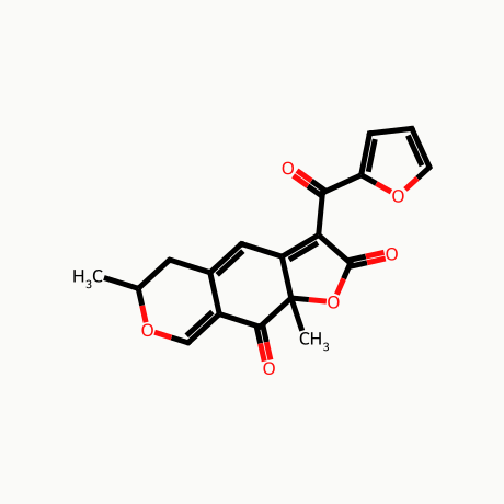 CC1CC2=CC3=C(C(=O)c4ccco4)C(=O)OC3(C)C(=O)C2=CO1